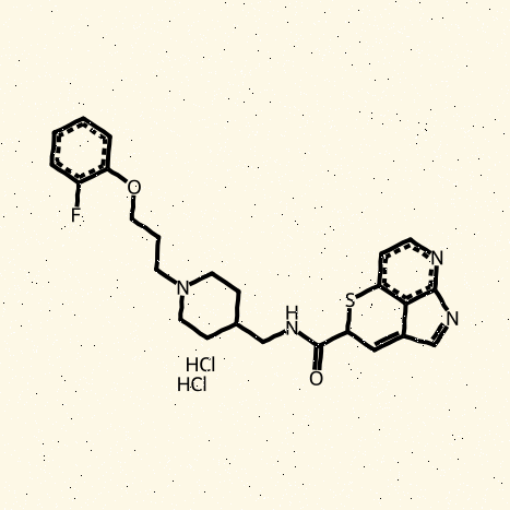 Cl.Cl.O=C(NCC1CCN(CCCOc2ccccc2F)CC1)C1C=C2C=Nc3nccc(c32)S1